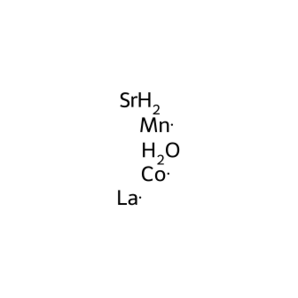 O.[Co].[La].[Mn].[SrH2]